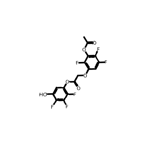 CC(=O)Oc1c(F)c(F)cc(OCC(=O)Oc2cc(O)c(F)c(F)c2F)c1F